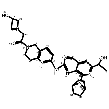 CC(O)c1cc2cnc(Nc3ccc4c(n3)CCN(C(=O)CN3CC(O)C3)C4)nc2c(N2C3CCC2CC3)n1